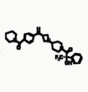 O=C(c1ccc(NC2CN(C3CCN(C(=O)[C@](O)(c4ccccc4)C(F)(F)F)CC3)C2)cc1)N1CCCCC1